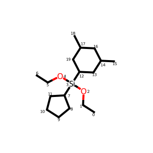 CCO[Si](OCC)(C1CCCC1)C1CC(C)CC(C)C1